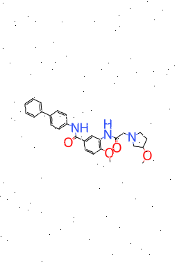 COc1ccc(C(=O)Nc2ccc(-c3ccccc3)cc2)cc1NC(=O)CN1CCC(OC)C1